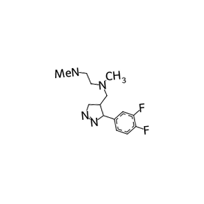 CNCCN(C)CC1CN=NC1c1ccc(F)c(F)c1